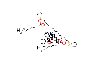 CCCCCCCCC(=O)OC(CCCCCC(CCCCCC(CSC1CCCCC1)OC(=O)CCCCCCCC)N(C)CCCCO[Si](c1ccccc1)(c1ccccc1)C(C)(C)C)CSC1CCCCC1